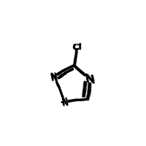 ClC1=N[N]C=N1